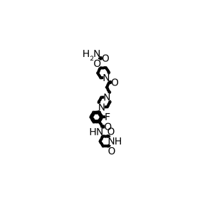 NC(=O)OC1CCN(C(=O)CCN2CCN(c3cccc(C(=O)NC4CCC(=O)NC4=O)c3F)CC2)CC1